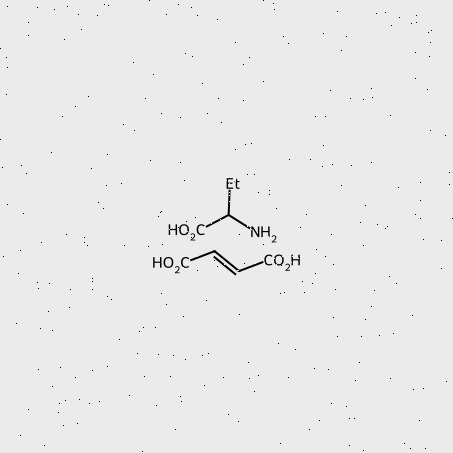 CCC(N)C(=O)O.O=C(O)/C=C/C(=O)O